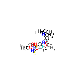 CN(Cc1cccc(F)c1CN(C(=O)OC(C)(C)C)c1ccc(S(=O)(=O)N(c2cscn2)C(O)OC(C)(C)C)c(F)c1F)C(C)(C)C